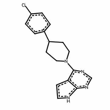 Clc1ccc([C]2CCN(c3ncnc4[nH]ccc34)CC2)cc1